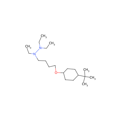 CCN(CC)N(CC)CCCCOC1CCC(C(C)(C)C)CC1